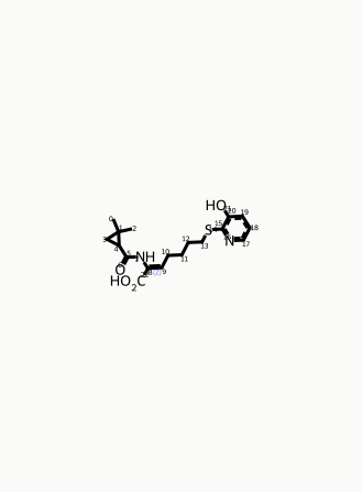 CC1(C)CC1C(=O)N/C(=C\CCCCSc1ncccc1O)C(=O)O